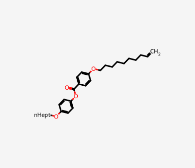 C=CCCCCCCCCOc1ccc(C(=O)Oc2ccc(OCCCCCCC)cc2)cc1